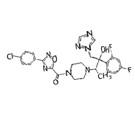 CC(N1CCN(C(=O)c2nc(-c3ccc(Cl)cc3)no2)CC1)C(O)(Cn1cncn1)c1ccc(F)cc1F